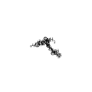 CCCCOc1ccc(C[C@H](NC(=O)COCCOCCNC(=O)OCc2ccccc2)C(=O)NN)cc1